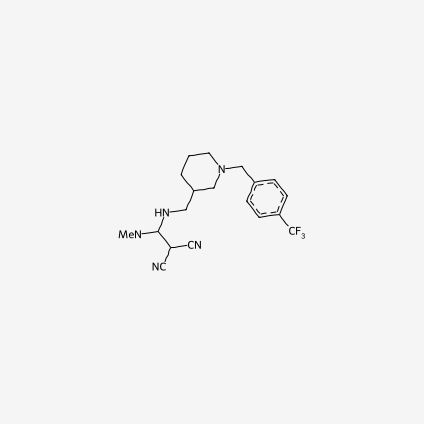 CNC(NCC1CCCN(Cc2ccc(C(F)(F)F)cc2)C1)C(C#N)C#N